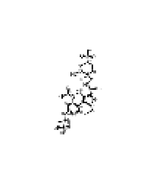 CCn1nc(C(=O)NC[C@]2(O)CC[C@@H](S(C)(=O)=O)C[C@H]2O)c(Cl)c1-c1cnc(CC(C)(C)C(F)(F)F)cc1OC(F)F